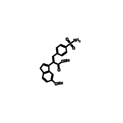 COC(=O)C(=Cc1ccc(S(N)(=O)=O)cc1)C1=CCc2ccc(OC)cc21